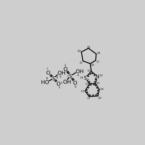 O=S(=O)(O)O.O=S(=O)(O)O.c1ccc2sc(C3CCCCC3)nc2c1